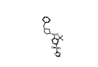 O=S(=O)(c1cc(C(F)(F)F)c(N[C@H]2CCN(Cc3ccccc3)C2)cn1)c1n[c]cs1